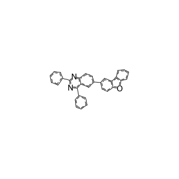 c1ccc(-c2nc(-c3ccccc3)c3cc(-c4ccc5oc6ccccc6c5c4)ccc3n2)cc1